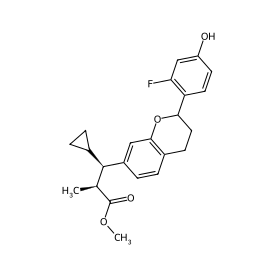 COC(=O)[C@@H](C)[C@H](c1ccc2c(c1)OC(c1ccc(O)cc1F)CC2)C1CC1